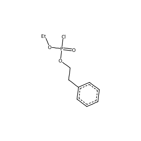 CCOP(=O)(Cl)OCCc1ccccc1